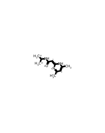 CC1=CC(C)=N/C(=C\C(=O)NC(C)C)N1